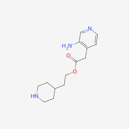 Nc1cnccc1CC(=O)OCCC1CCNCC1